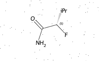 CC(C)[C@H](F)C(N)=O